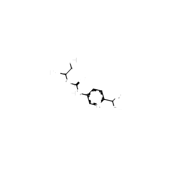 CCC(C)OC(=O)Nc1ccc(C(C)O)nc1